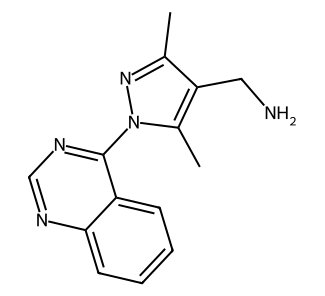 Cc1nn(-c2ncnc3ccccc23)c(C)c1CN